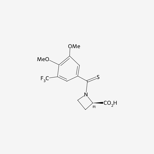 COc1cc(C(=S)N2CC[C@@H]2C(=O)O)cc(C(F)(F)F)c1OC